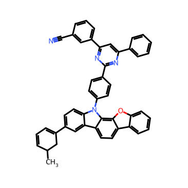 CC1C=CC=C(c2ccc3c(c2)c2ccc4c5ccccc5oc4c2n3-c2ccc(-c3nc(-c4ccccc4)cc(-c4cccc(C#N)c4)n3)cc2)C1